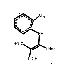 CCCCCCC(Nc1ccccc1C(F)(F)F)=C(C(=O)O)C(=O)O